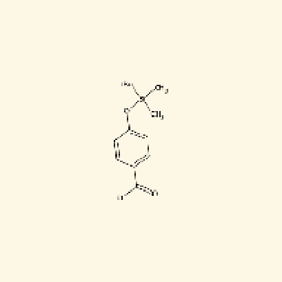 CCC(=O)c1ccc(O[Si](C)(C)C(C)(C)C)cc1